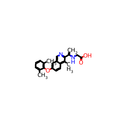 C=C(NCC(=O)O)c1ncc2cc(Oc3c(C)cccc3C)ccc2c1C